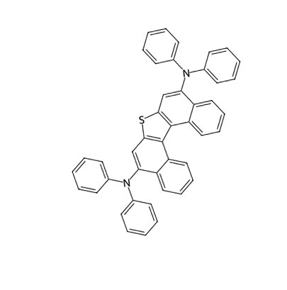 c1ccc(N(c2ccccc2)c2cc3sc4cc(N(c5ccccc5)c5ccccc5)c5ccccc5c4c3c3ccccc23)cc1